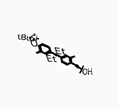 CCC(CC)(c1ccc(C#CC(C)(C)O)c(C)c1)c1ccc(O[Si](C)(C)C(C)(C)C)c(C)c1